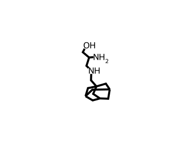 NC(CO)CNCC12CC3CC(CC(C3)C1)C2